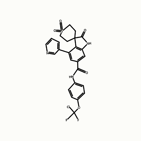 O=C(Nc1ccc(OC(F)(F)Cl)cc1)c1cc2c(c(-c3cccnc3)c1)C1(CCS(=O)(=O)CC1)C(=O)N2